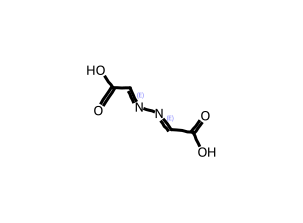 O=C(O)/C=N/N=C/C(=O)O